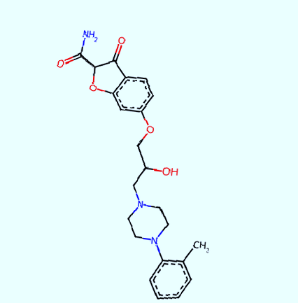 Cc1ccccc1N1CCN(CC(O)COc2ccc3c(c2)OC(C(N)=O)C3=O)CC1